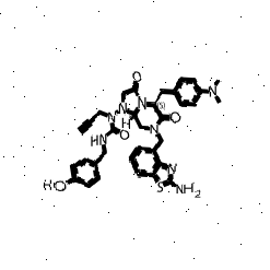 C#CCN(C(=O)NCc1ccc(O)cc1)N1CC(=O)N2[C@@H](Cc3ccc(N(C)C)cc3)C(=O)N(Cc3cccc4sc(N)nc34)C[C@@H]21